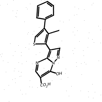 Cc1c(-c2ccccc2)csc1-c1cnn2c(O)c(C(=O)O)cnc12